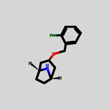 Fc1ccccc1CO[C@H]1C[C@H]2CC[C@@H](C1)N2